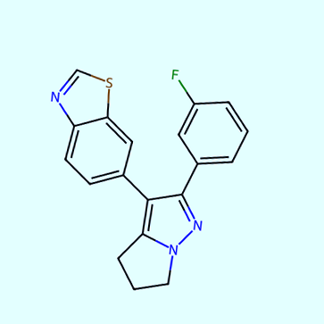 Fc1cccc(-c2nn3c(c2-c2ccc4ncsc4c2)CCC3)c1